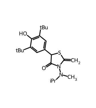 C=C1SC(c2cc(C(C)(C)C)c(O)c(C(C)(C)C)c2)C(=O)N1N(C)C(C)C